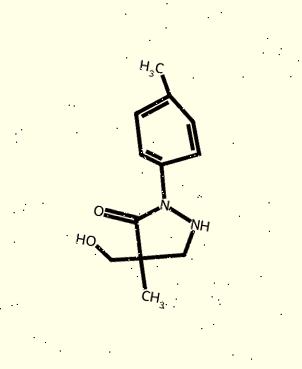 Cc1ccc(N2NCC(C)(CO)C2=O)cc1